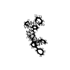 C1=NC2=NC(c3ccc(N4CCCCC4)cc3Nc3ccc[nH]3)=CC3=CC(c4ccc(C5CCCCCC5)cc4Nc4ccc[nH]4)=NC(=N1)N32